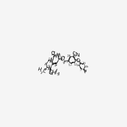 C[C@H]1CCn2c(cc(OCc3ccc(Oc4ccc(F)cc4)c(C#N)c3)nc2=O)N1C